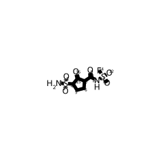 NS(=O)(=O)C1CCC(C(=O)NS(=O)(=O)F)C1=O